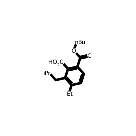 CCCCOC(=O)c1ccc(CC)c(CC(C)C)c1C(=O)O